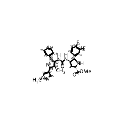 COC(=O)[C@@H]1C[C@@H](NC(=O)Nc2c(C)c(-c3cnn(C)c3)nn2-c2ccccc2)[C@H](c2ccc(F)c(F)c2)N1